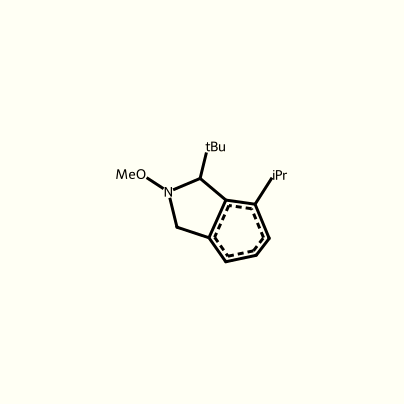 CON1Cc2cccc(C(C)C)c2C1C(C)(C)C